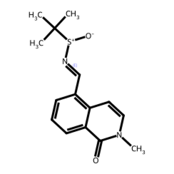 Cn1ccc2c(/C=N/[S+]([O-])C(C)(C)C)cccc2c1=O